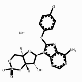 Nc1ncnc2c1nc(Sc1ccc(Cl)cc1)n2[C@@H]1O[C@@H]2COP(=O)([O-])O[C@H]2[C@H]1O.[Na+]